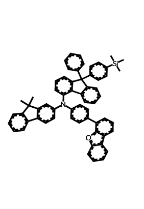 CC1(C)c2ccccc2-c2ccc(N(c3ccc(-c4cccc5c4oc4ccccc45)cc3)c3cccc4c3-c3ccccc3C4(c3ccccc3)c3ccc([Si](C)(C)C)cc3)cc21